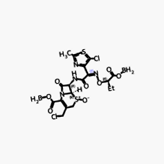 BOC(=O)C1=C(CCl)C[S+]([O-])[C@@H]2[C@H](NC(=O)/C(=N\O[C@H](CC)C(=O)OB)c3nc(C)sc3Cl)C(=O)N12